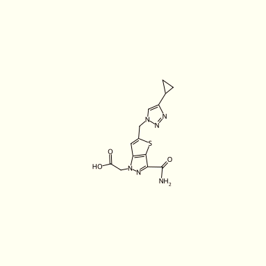 NC(=O)c1nn(CC(=O)O)c2cc(Cn3cc(C4CC4)nn3)sc12